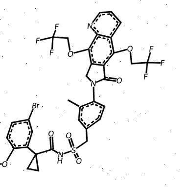 COc1ccc(Br)cc1C1(C(=O)NS(=O)(=O)Cc2ccc(N3Cc4c(c(OCC(F)(F)F)c5cccnc5c4OCC(F)(F)F)C3=O)c(C)c2)CC1